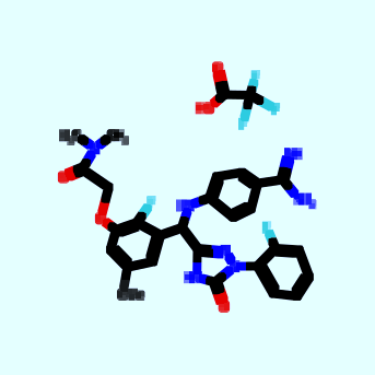 COc1cc(OCC(=O)N(C)C)c(F)c(C(Nc2ccc(C(=N)N)cc2)c2nn(-c3ccccc3F)c(=O)[nH]2)c1.O=C(O)C(F)(F)F